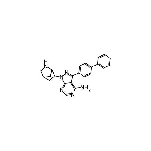 Nc1ncnc2c1c(-c1ccc(-c3ccccc3)cc1)nn2C1CC2CNC1C2